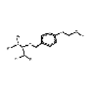 CCOCOc1ccc(COP(N(C(C)C)C(C)C)N(C(C)C)C(C)C)cc1